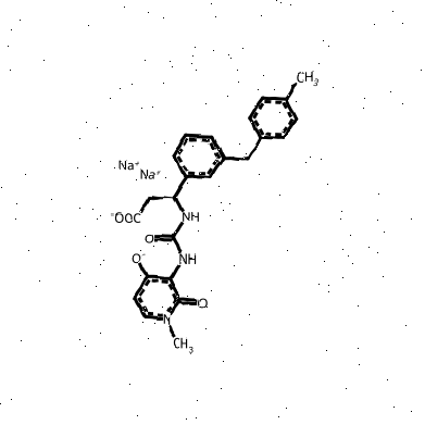 Cc1ccc(Cc2cccc([C@H](CC(=O)[O-])NC(=O)Nc3c([O-])ccn(C)c3=O)c2)cc1.[Na+].[Na+]